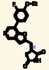 CCOc1ccc(-c2cncc3cc(/C=C4\SC(=O)NC4=O)oc23)cc1F